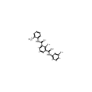 Cc1ccccc1NC(=O)c1cccc(C(=O)Nc2cccc(F)c2)c1F